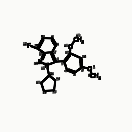 COc1ccc(-c2c3cccc(F)c3nn2C2CCCC2)c(OC)c1